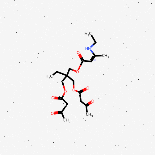 CCN/C(C)=C\C(=O)OCC(CC)(COC(=O)CC(C)=O)COC(=O)CC(C)=O